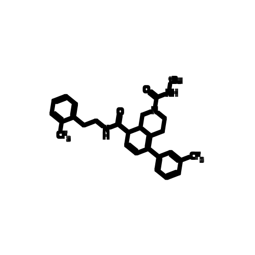 CC(C)(C)NC(=O)N1CCC2=C(c3cccc(C(F)(F)F)c3)C=CC(C(=O)NCCc3ccccc3C(F)(F)F)C2C1